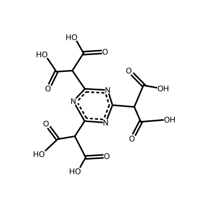 O=C(O)C(C(=O)O)c1nc(C(C(=O)O)C(=O)O)nc(C(C(=O)O)C(=O)O)n1